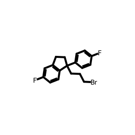 Fc1ccc(C2(CCCBr)CCc3cc(F)ccc32)cc1